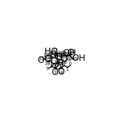 CCCC(=O)OC(=O)CC.C[C@]12CCC(=O)C=C1CC[C@@H]1[C@@H]2[C@@H](O)C[C@@]2(C)[C@H]1CC[C@]2(O)C(=O)CO